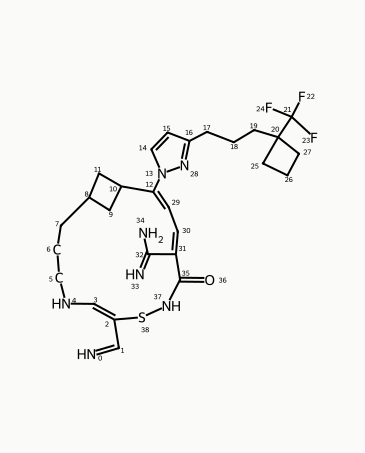 N=C/C1=C\NCCCC2CC(C2)/C(n2ccc(CCCC3(C(F)(F)F)CCC3)n2)=C\C=C(/C(=N)N)C(=O)NS1